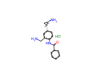 Cl.NCc1cc([C@@H]2C[C@H]2N)ccc1NC(=O)c1ccccc1